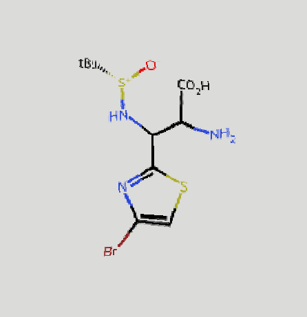 CC(C)(C)[S@+]([O-])NC(c1nc(Br)cs1)C(N)C(=O)O